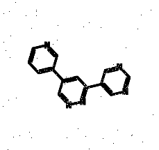 c1cncc(-c2cnnc(-c3cncnc3)c2)c1